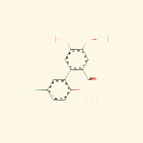 COc1cc(C=O)c(-c2cc(Cl)ccc2OC)cc1O